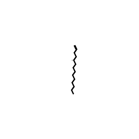 C=CCC[CH]CCCCCCCCC